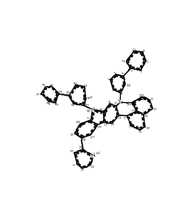 c1ccc(-c2cccc(N3c4cc5c(cc4-c4cccc6cccc3c46)c3cc(-c4ccccn4)ccc3n5-c3cccc(-c4ccccc4)c3)c2)cc1